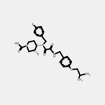 CC(C)COc1ccc(CNC(=O)C(=O)N(Cc2ccc(F)cc2)[C@H]2CCN(C(=O)O)C[C@H]2F)cc1